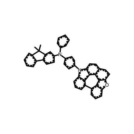 CC1(C)c2ccccc2-c2ccc(N(c3ccccc3)c3ccc(-n4c5cccc6c5c5c7c(ccc8oc9cccc-6c9c87)ccc54)cc3)cc21